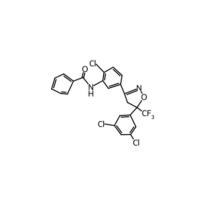 O=C(Nc1cc(C2=NOC(c3cc(Cl)cc(Cl)c3)(C(F)(F)F)C2)ccc1Cl)c1ccccc1